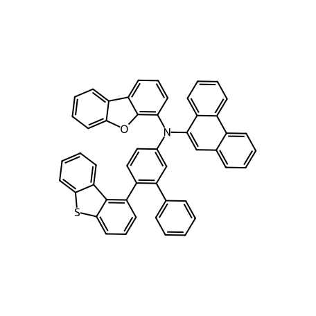 c1ccc(-c2cc(N(c3cc4ccccc4c4ccccc34)c3cccc4c3oc3ccccc34)ccc2-c2cccc3sc4ccccc4c23)cc1